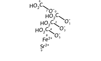 O=C([O-])O.O=C([O-])O.O=C([O-])O.O=C([O-])O.[Fe+2].[Sr+2]